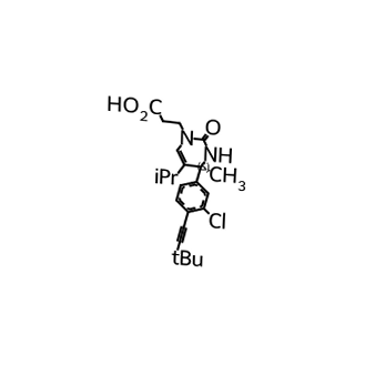 CC(C)C1=CN(CCC(=O)O)C(=O)N[C@@]1(C)c1ccc(C#CC(C)(C)C)c(Cl)c1